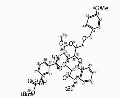 COc1ccc(COCC2O[C@@H](OC(C)C)C(NC(=O)c3cccc(NC(=O)OC(C)(C)C)c3)[C@@H](OCC(=O)OC(C)(C)C)[C@@H]2OCc2ccccc2)cc1